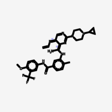 C=C/N=C1/C=NC(N2CCN(C3CC3)CC2)=N/C1=C(/N)Nc1cc(C(=O)Nc2ccc(OC)c(C(F)(F)F)c2)ccc1C